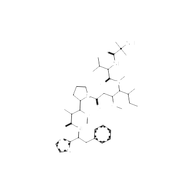 CCC(C)C(C(CC(=O)N1CCCC1C(OC)C(C)C(=S)NC(Cc1ccccc1)c1nccs1)OC)N(C)C(=O)C(NC(=O)C(C)(C)N)C(C)C